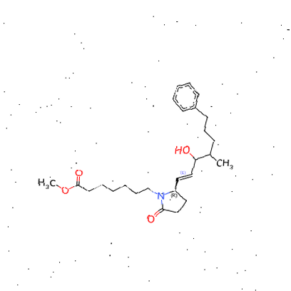 COC(=O)CCCCCCN1C(=O)CC[C@@H]1/C=C/C(O)C(C)CCCc1ccccc1